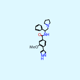 COc1cc(C(=O)NC(CN2CCCC2)c2ccccc2)ccc1-c1cn[nH]c1